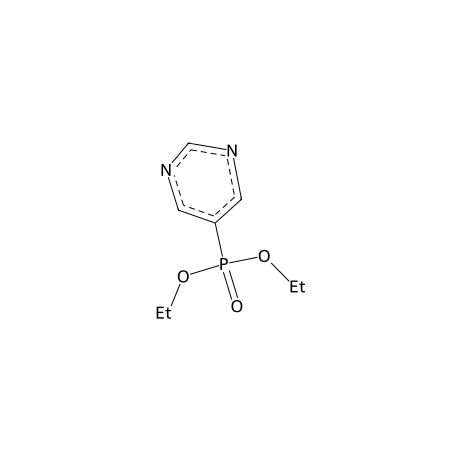 CCOP(=O)(OCC)c1cncnc1